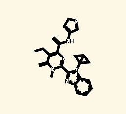 C=C(NC1=CCN=C1)C1=C(CC)C(=C)N(C)C(c2nc3ccccc3n2C23CC2C3)=N1